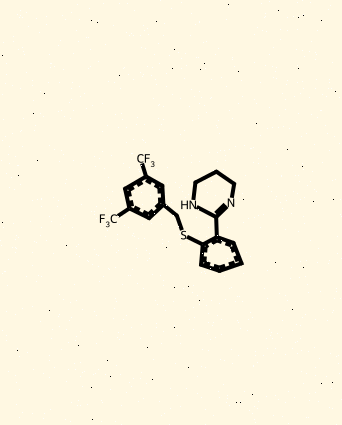 FC(F)(F)c1cc(CSc2ccccc2C2=NCCCN2)cc(C(F)(F)F)c1